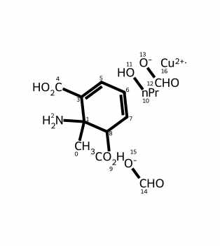 CC1(N)C(C(=O)O)=CC=CC1C(=O)O.CCCO.O=C[O-].O=C[O-].[Cu+2]